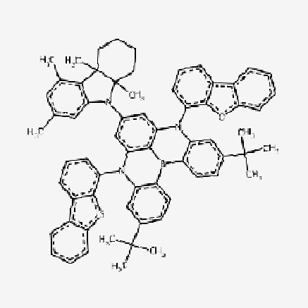 Cc1cc(C)c2c(c1)N(c1cc3c4c(c1)N(c1cccc5c1sc1ccccc15)c1cc(C(C)(C)C)ccc1B4c1ccc(C(C)(C)C)cc1N3c1cccc3c1oc1ccccc13)C1(C)CCCCC21C